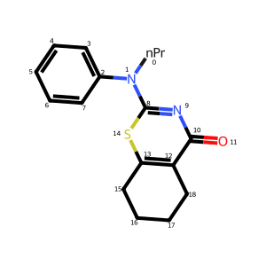 CCCN(c1ccccc1)c1nc(=O)c2c(s1)CCCC2